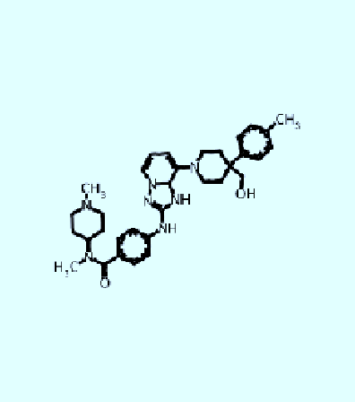 Cc1ccc(C2(CO)CCN(C3=CC=CN4N=C(Nc5ccc(C(=O)N(C)C6CCN(C)CC6)cc5)NC34)CC2)cc1